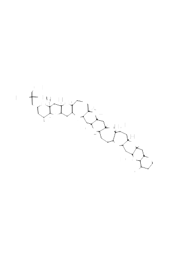 CCC(C)(C)C[C@@H]1C[C@H](O)[C@]2(C)OC3CC4OC5C[C@]6(C)O[C@]7(C)CCC8OC9C[C@]%10(C)OC%11C(C)CCO[C@H]%11C[C@H]%10O[C@H]9C[C@@H](C)[C@H]8O[C@H]7C[C@H]6O[C@@]5(C)CCC[C@H]4O[C@H]3C[C@H]2O1